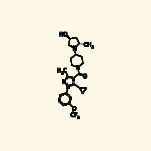 Cc1nn(-c2cccc(OC(F)(F)F)c2)c(C2CC2)c1C(=O)N1CCC(N2C[C@@H](O)C[C@@H]2C)CC1